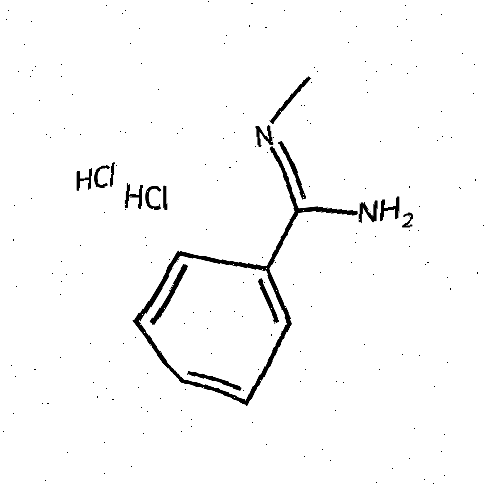 CN=C(N)c1ccccc1.Cl.Cl